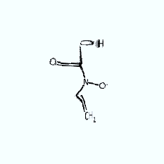 C=CN([O])C(=O)O